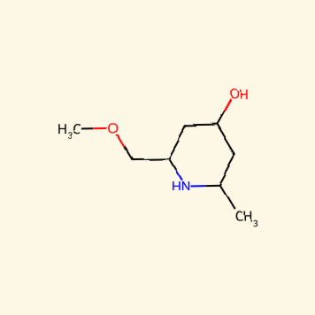 COCC1CC(O)CC(C)N1